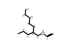 C=COCC(CCC)CCCCC